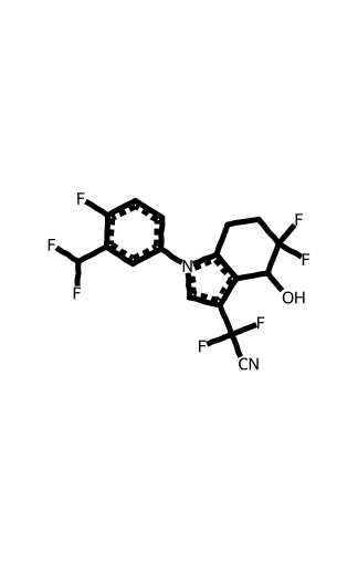 N#CC(F)(F)c1cn(-c2ccc(F)c(C(F)F)c2)c2c1C(O)C(F)(F)CC2